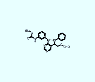 CC(C)(C)OC(=O)Nc1cccc(Nc2ncncc2C(COC=O)Nc2ccccc2)c1